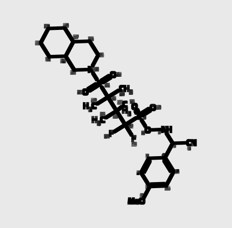 COc1ccc(C(C#N)NOS(=O)(=O)C(F)(F)C(C)(C)C(C)(C)S(=O)(=O)N2CCC3CCCCC3C2)cc1